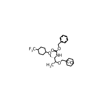 C[C@H](OCC12CCC(CC1)OC2)[C@H](COC1CCC(C(F)(F)F)CC1)NC(=O)OCc1ccccc1